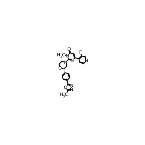 Cc1nnc(-c2ccc([C@H]3CN(c4nc(-c5ccncc5F)cc(=O)n4C)CCO3)cc2)o1